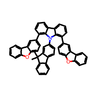 CC1(C)c2ccccc2-c2ccc(-n3c4c(-c5ccc6oc7ccccc7c6c5)cccc4c4cccc(-c5ccc6oc7ccccc7c6c5)c43)cc21